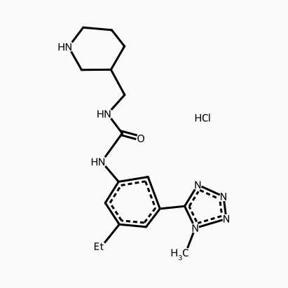 CCc1cc(NC(=O)NCC2CCCNC2)cc(-c2nnnn2C)c1.Cl